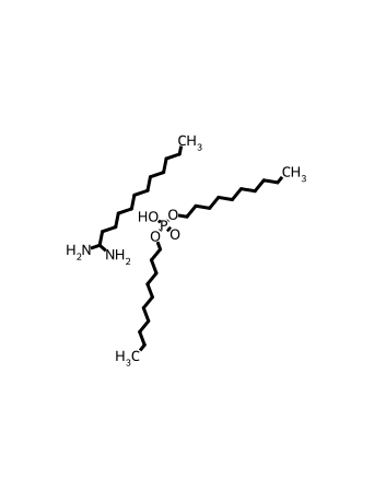 CCCCCCCCCCCC(N)N.CCCCCCCCCCOP(=O)(O)OCCCCCCCCCC